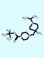 CC(C)N1CCC(C)(CN2CCN(C(=O)OC(C)(C)C)CC2)CC1